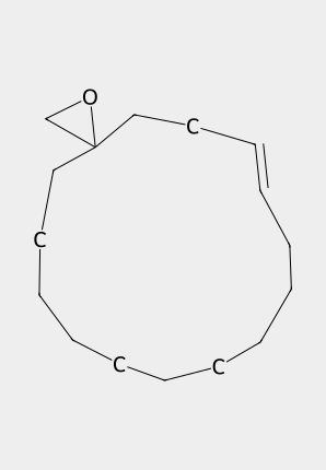 C1=C/CCC2(CCCCCCCCCC/1)CO2